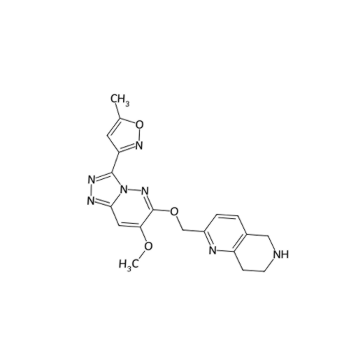 COc1cc2nnc(-c3cc(C)on3)n2nc1OCc1ccc2c(n1)CCNC2